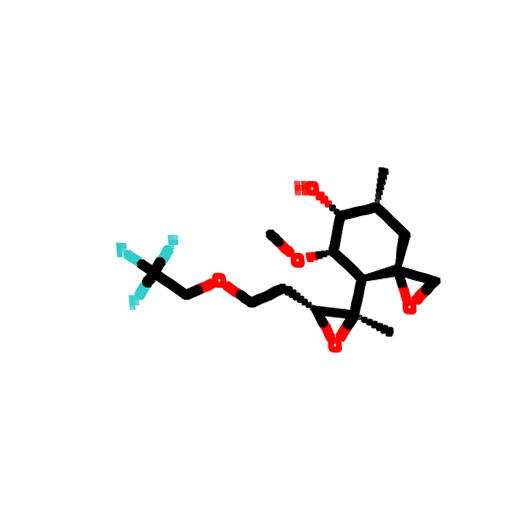 CO[C@@H]1[C@H](O)[C@H](C)C[C@]2(CO2)[C@H]1[C@@]1(C)O[C@@H]1CCOCC(F)(F)F